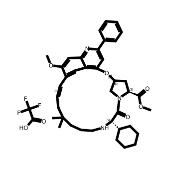 COC(=O)[C@@H]1C[C@@H]2CN1C(=O)[C@H](C1CCCCC1)NCCCC(C)(C)C/C=C\c1cc3c(cc(-c4ccccc4)nc3cc1OC)O2.O=C(O)C(F)(F)F